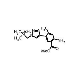 COC(=O)c1cc(-c2cn(C[Si](C)(C)C)nn2)c(C(F)(F)F)cc1N